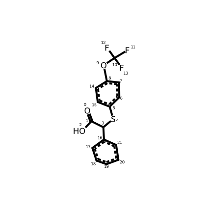 O=C(O)C(Sc1ccc(OC(F)(F)F)cc1)c1ccccc1